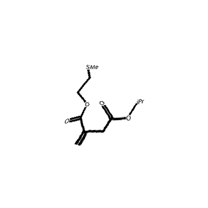 C=C(CC(=O)OC(C)C)C(=O)OCCSC